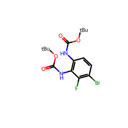 CC(C)(C)OC(=O)Nc1ccc(Br)c(F)c1NC(=O)OC(C)(C)C